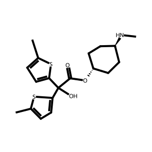 CN[C@H]1CC[C@H](OC(=O)C(O)(c2ccc(C)s2)c2ccc(C)s2)CC1